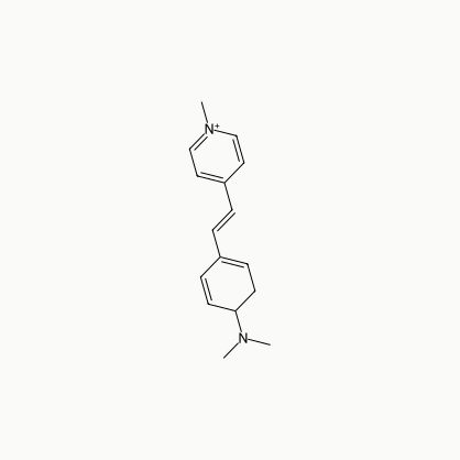 CN(C)C1C=CC(C=Cc2cc[n+](C)cc2)=CC1